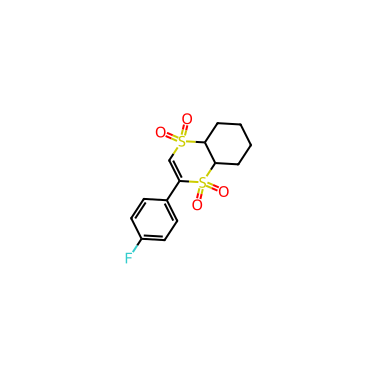 O=S1(=O)C=C(c2ccc(F)cc2)S(=O)(=O)C2CCCCC21